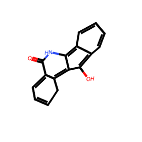 O=c1[nH]c2c(c3c1=CC=CC3)C(O)=c1ccccc1=2